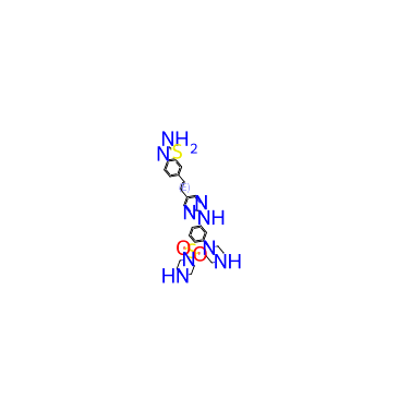 Nc1nc2ccc(/C=C/c3cnc(Nc4ccc(S(=O)(=O)N5CCNCC5)c(N5CCNCC5)c4)nc3)cc2s1